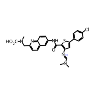 CN(C)/C=N/c1cc(-c2ccc(Cl)cc2)sc1C(=O)Nc1ccc2nc(CN(C)C(=O)O)ccc2c1